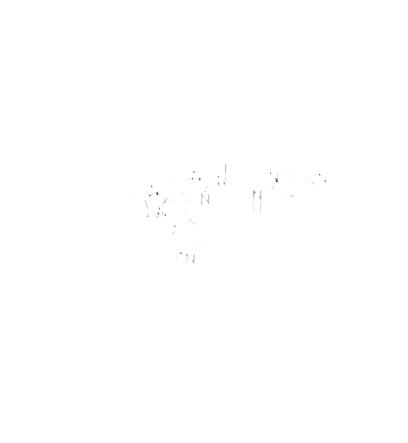 N#Cc1ccc(-c2nc(NCCNc3ccc(C#N)cn3)ncc2-c2ncc[nH]2)cc1